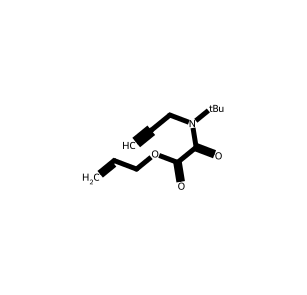 C#CCN(C(=O)C(=O)OCC=C)C(C)(C)C